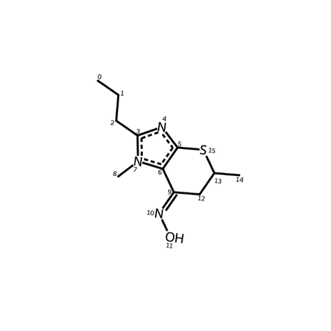 CCCc1nc2c(n1C)/C(=N/O)CC(C)S2